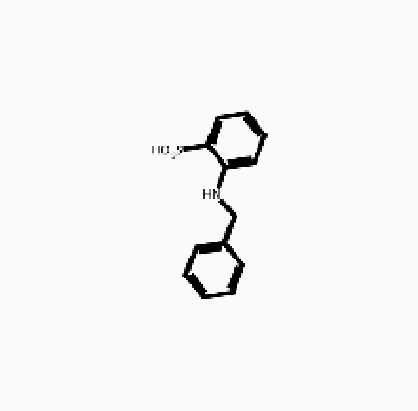 O=S(=O)(O)c1ccccc1NCc1ccccc1